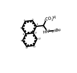 CCCCNC(C(=O)O)c1cccc2ccccc12